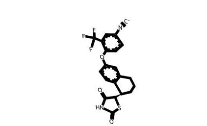 [C-]#[N+]c1ccc(Oc2ccc3c(c2)CCC[C@H]3C2SC(=O)NC2=O)c(C(F)(F)F)c1